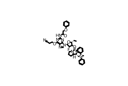 CC[C@H]1O[C@@H](n2cnc3c(OCCC#N)nc(NC(=O)COc4ccccc4)nc32)[C@@H](F)C1O[P@]1O[C@H](C[Si](C)(c2ccccc2)c2ccccc2)[C@@H]2CCCN21